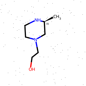 C[C@H]1CN(CCO)CCN1